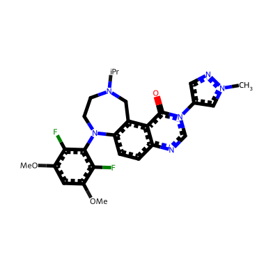 COc1cc(OC)c(F)c(N2CCN(C(C)C)Cc3c2ccc2ncn(-c4cnn(C)c4)c(=O)c32)c1F